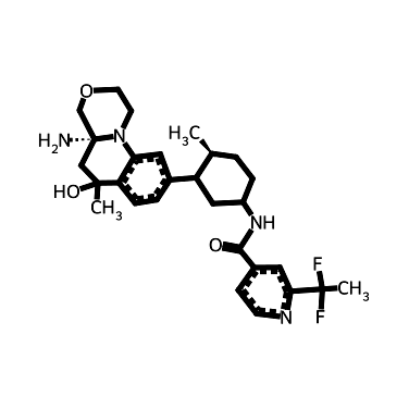 C[C@H]1CCC(NC(=O)c2ccnc(C(C)(F)F)c2)CC1c1ccc2c(c1)N1CCOC[C@]1(N)CC2(C)O